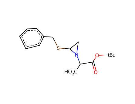 CC(C)(C)OC(=O)C(C(=O)O)N1CC1SCc1ccccc1